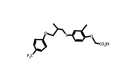 CCOC(=O)COc1ccc(SCC(C)COc2ccc(C(F)(F)F)cc2)cc1C